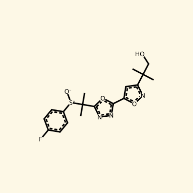 CC(C)(CO)c1cc(-c2nnc(C(C)(C)[S+]([O-])c3ccc(F)cc3)o2)on1